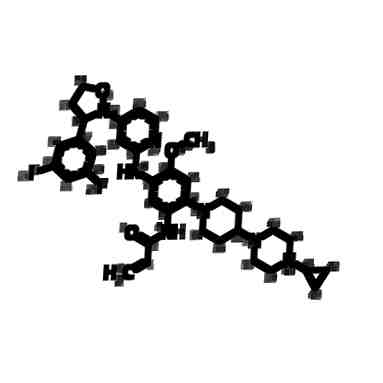 C=CC(=O)Nc1cc(Nc2cc(N3OCCC3c3cc(F)cc(F)c3)ccn2)c(OC)cc1N1CCC(N2CCN(C3CC3)CC2)CC1